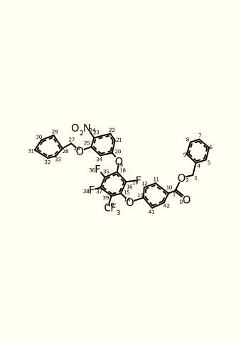 O=C(OCc1ccccc1)c1ccc(Oc2c(F)c(Oc3ccc([N+](=O)[O-])c(OCc4ccccc4)c3)c(F)c(F)c2C(F)(F)F)cc1